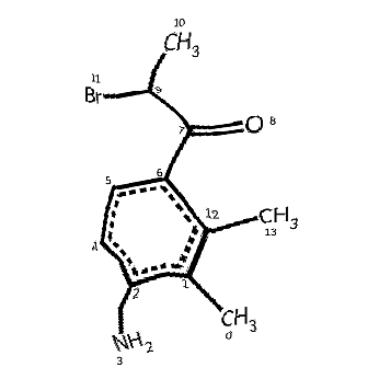 Cc1c(N)ccc(C(=O)C(C)Br)c1C